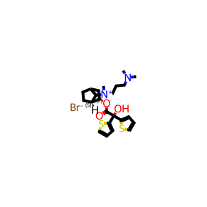 CN(C)CCC[N+](C)(C)C1C2CC[C@@H]1[C@H](OC(=O)C(O)(c1cccs1)c1cccs1)C2.[Br-]